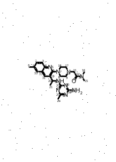 Cc1ccc2nc(N3CCN(CC(=O)N(C)C)CC3)c(C(C)Nc3nc(C)nc(N)n3)cc2c1